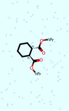 CCCOC(=O)[C@H]1CCCC[C@@H]1C(=O)OCCC